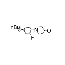 CCCCOc1ccc(N2CCC(=O)CC2)c(F)c1